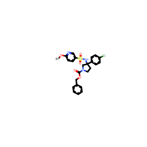 CC(C)Oc1ccc(S(=O)(=O)NC2(c3ccc(Cl)cc3)CCN(C(=O)OCc3ccccc3)C2)cn1